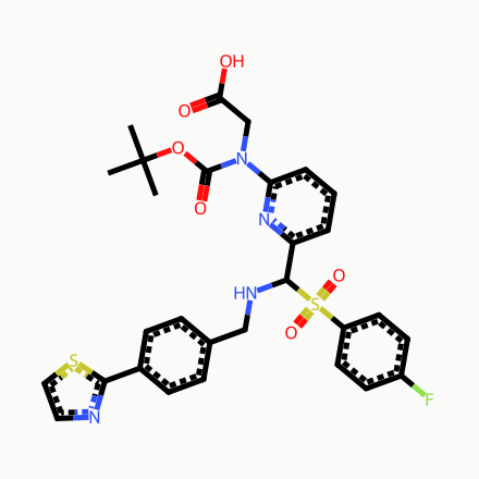 CC(C)(C)OC(=O)N(CC(=O)O)c1cccc(C(NCc2ccc(-c3nccs3)cc2)S(=O)(=O)c2ccc(F)cc2)n1